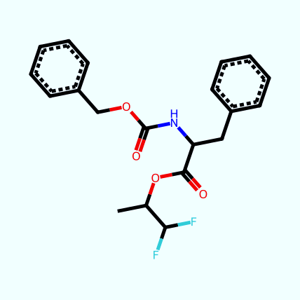 CC(OC(=O)C(Cc1ccccc1)NC(=O)OCc1ccccc1)C(F)F